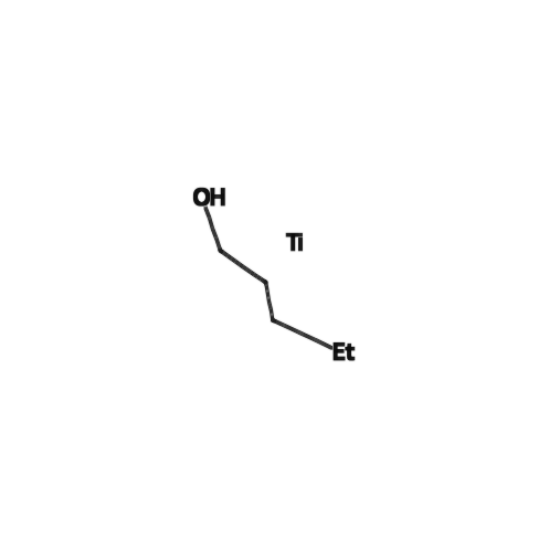 CCCCCO.[Ti]